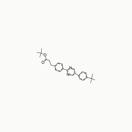 CC(C)(C)OC(=O)CCc1ccc(-c2ncc(-c3ccc(C(C)(C)C)cc3)cn2)cc1